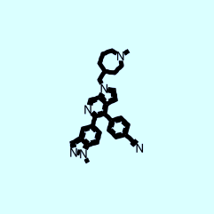 CN1CCCC(Cn2ccc3c(-c4ccc(C#N)cc4)c(-c4ccc5c(cnn5C)c4)ncc32)CC1